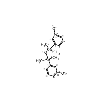 C[Si](C)(O[Si](C)(C)c1ccc[n+]([O-])c1)c1ccc[n+]([O-])c1